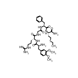 CCSCC[C@H](NC(=O)[C@H](Cc1ccccc1)NC(=O)CNC(=O)[C@@H](CCCNC(=N)N)NC(=O)[C@@H](N)Cc1ccc(OC)c(OC)c1)C(N)=O